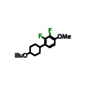 COc1ccc(C2CCC(OCC(C)C)CC2)c(F)c1F